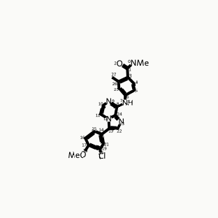 CNC(=O)c1ccc(Nc2nccn3c(-c4ccc(OC)c(Cl)c4)cnc23)cc1C